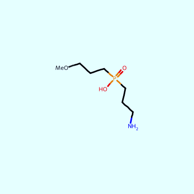 COCCCP(=O)(O)CCCN